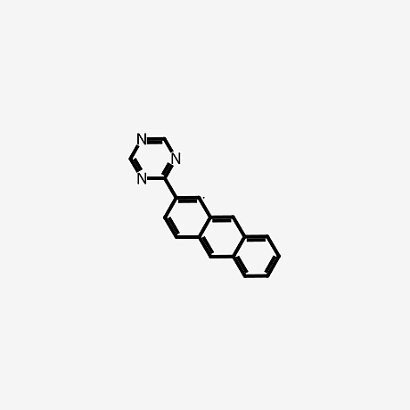 [c]1c(-c2ncncn2)ccc2cc3ccccc3cc12